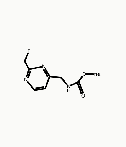 CC(C)(C)OC(=O)NCc1ccnc(CF)n1